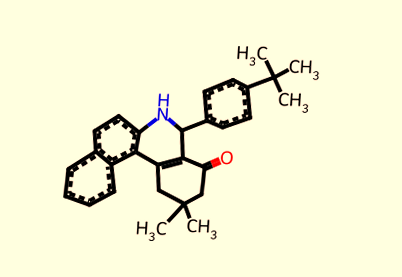 CC1(C)CC(=O)C2=C(C1)c1c(ccc3ccccc13)NC2c1ccc(C(C)(C)C)cc1